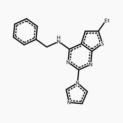 CCc1cc2c(NCc3ccccc3)nc(-n3ccnc3)nc2s1